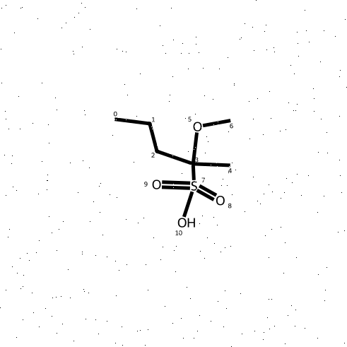 CCCC(C)(OC)S(=O)(=O)O